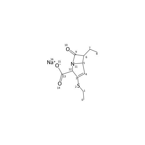 CCSC1=CC2C(CC)C(=O)N2C1C(=O)[O-].[Na+]